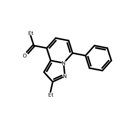 CCC(=O)c1ccc(-c2ccccc2)n2nc(CC)cc12